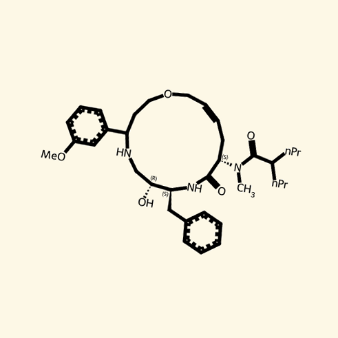 CCCC(CCC)C(=O)N(C)[C@H]1CC=CCOCCC(c2cccc(OC)c2)NC[C@@H](O)[C@H](Cc2ccccc2)NC1=O